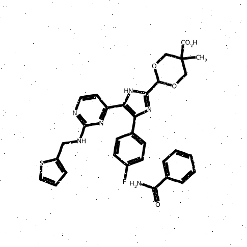 CC1(C(=O)O)COC(c2nc(-c3ccc(F)cc3)c(-c3ccnc(NCc4cccs4)n3)[nH]2)OC1.NC(=O)c1ccccc1